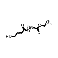 CCOC(=O)NOC(=O)CCCO